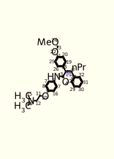 CCC/C(=C(/C(=O)Nc1ccc(OCCN(C)C)cc1)c1ccc(OCOC)cc1)c1ccccc1